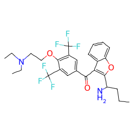 CCCC(N)c1oc2ccccc2c1C(=O)c1cc(C(F)(F)F)c(OCCN(CC)CC)c(C(F)(F)F)c1